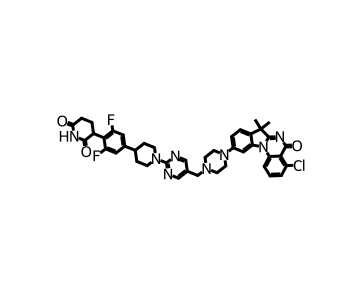 CC1(C)c2ccc(N3CCN(Cc4cnc(N5CCC(c6cc(F)c(C7CCC(=O)NC7=O)c(F)c6)CC5)nc4)CC3)cc2-n2c1nc(=O)c1c(Cl)cccc12